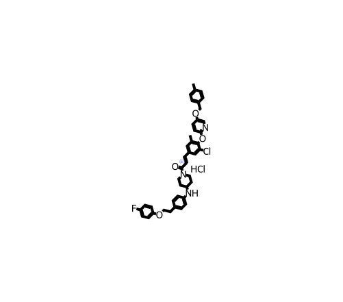 Cc1ccc(COc2ccc(Oc3c(C)cc(/C=C/C(=O)N4CCC(Nc5ccc(CCOc6ccc(F)cc6)cc5)CC4)cc3Cl)nc2)cc1.Cl